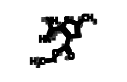 CCOC(=O)c1cc(C)sc1C(=N)N